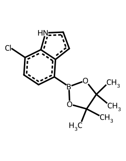 CC1(C)OB(c2ccc(Cl)c3[nH]ccc23)OC1(C)C